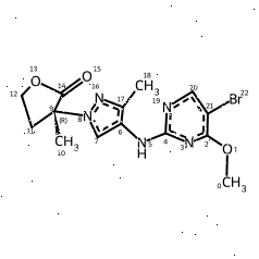 COc1nc(Nc2cn([C@]3(C)CCOC3=O)nc2C)ncc1Br